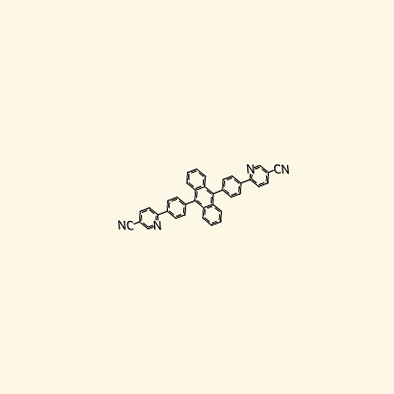 N#Cc1ccc(-c2ccc(-c3c4ccccc4c(-c4ccc(-c5ccc(C#N)cn5)cc4)c4ccccc34)cc2)nc1